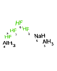 F.F.F.F.[AlH3].[AlH3].[NaH]